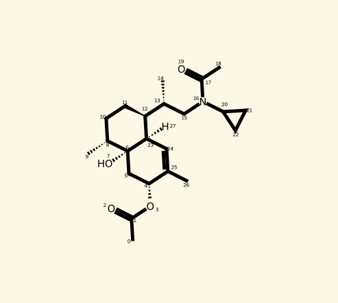 CC(=O)O[C@@H]1[C][C@@]2(O)[C@H](C)CC[C@@H]([C@H](C)CN(C(C)=O)C3CC3)[C@H]2C=C1C